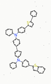 c1ccc(-c2ccc(-c3ccc(N(c4ccccc4)c4ccc(-c5ccc(N(c6ccccc6)c6ccc(-c7cc8ccccc8s7)cc6)cc5)cc4)cc3)s2)cc1